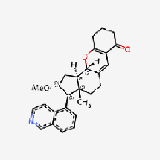 CO[C@@H]1C[C@H]2[C@@H]3OC4=C(C=C3CC[C@]2(C)[C@H]1c1cccc2cnccc12)C(=O)CCC4